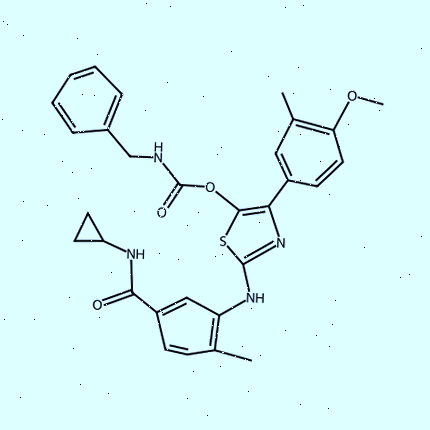 COc1ccc(-c2nc(Nc3cc(C(=O)NC4CC4)ccc3C)sc2OC(=O)NCc2ccccc2)cc1C